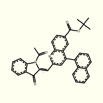 CC(=O)N1/C(=C\c2cc(-c3cccc4ccccc34)c3cc(C(=O)OC(C)(C)C)ccc3n2)C(=O)c2ccccc21